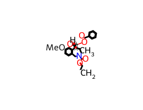 C=CCOC(=O)N1CC[C@]23c4c(ccc(OC)c4O[C@H]2C[C@@H](OC(=O)c2ccccc2)C3C)C1